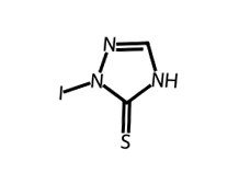 S=c1[nH]cnn1I